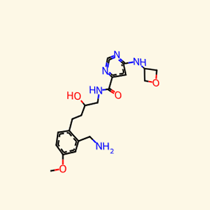 COc1ccc(CCC(O)CNC(=O)c2cc(NC3COC3)ncn2)c(CN)c1